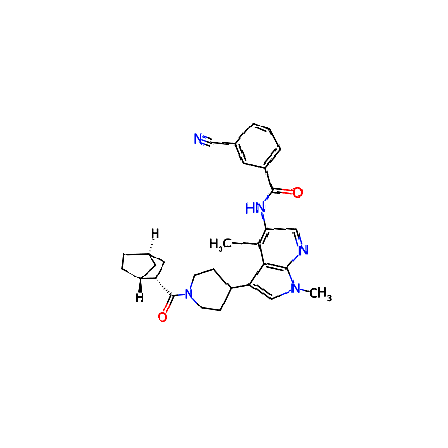 Cc1c(NC(=O)c2cccc(C#N)c2)cnc2c1c(C1CCN(C(=O)[C@H]3C[C@@H]4CC[C@@H]3C4)CC1)cn2C